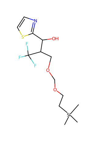 C[Si](C)(C)CCOCOCC(C(O)c1nccs1)C(F)(F)F